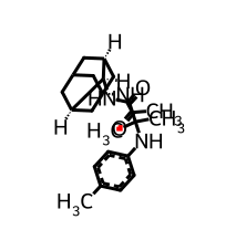 CC(=O)N[C@@]12CC3C[C@H](C1)[C@H](NC(=O)C(C)(C)Nc1ccc(C)cc1)[C@@H](C3)C2